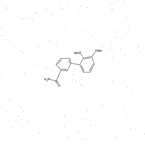 COc1cccc(-c2cccc(C(N)=O)c2)c1OC